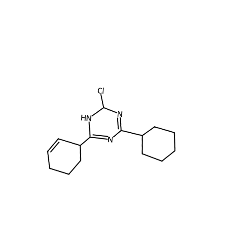 ClC1N=C(C2CCCCC2)N=C(C2C=CCCC2)N1